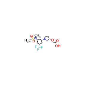 CN(c1cc(N2CCC(OCC(=O)O)C2)cc(C(F)(F)F)c1)S(C)(=O)=O